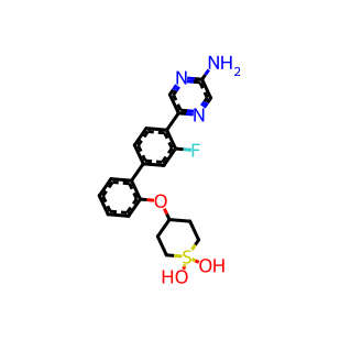 Nc1cnc(-c2ccc(-c3ccccc3OC3CCS(O)(O)CC3)cc2F)cn1